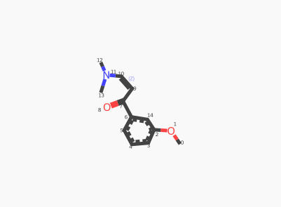 COc1cccc(C(=O)/C=C\N(C)C)c1